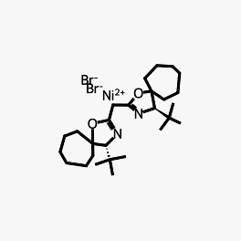 CC(C)(C)[C@H]1N=C(CC2=N[C@H](C(C)(C)C)C3(CCCCCC3)O2)OC12CCCCCC2.[Br-].[Br-].[Ni+2]